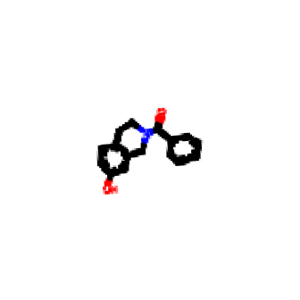 O=C(c1ccccc1)N1CCc2ccc(O)cc2C1